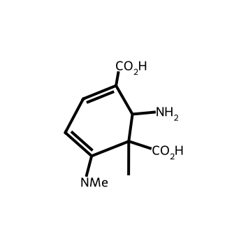 CNC1=CC=C(C(=O)O)C(N)C1(C)C(=O)O